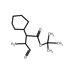 CC(C)(C)OC(=O)C(C(N)C=O)C1CCCCC1